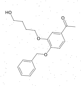 CC(=O)c1ccc(OCc2ccccc2)c(OCCCCO)c1